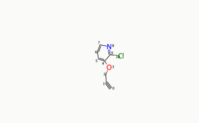 C#CCOc1cccnc1Cl